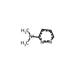 C[N+](C)c1cccnn1